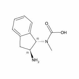 CN(C(=O)O)[C@H]1c2ccccc2C[C@@H]1N